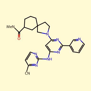 CNC(=O)C1CCCC2(CCN(c3cc(Nc4nccc(C#N)n4)nc(-c4cccnc4)n3)C2)C1